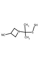 CC(C)(SS)N1CC(C#N)C1